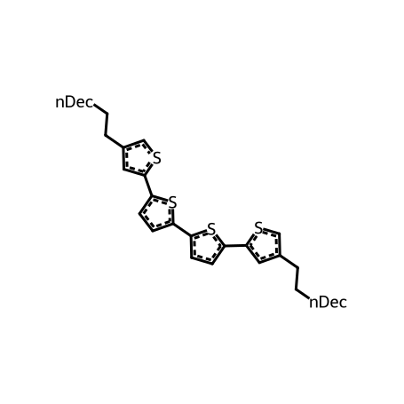 CCCCCCCCCCCCc1csc(-c2ccc(-c3ccc(-c4cc(CCCCCCCCCCCC)cs4)s3)s2)c1